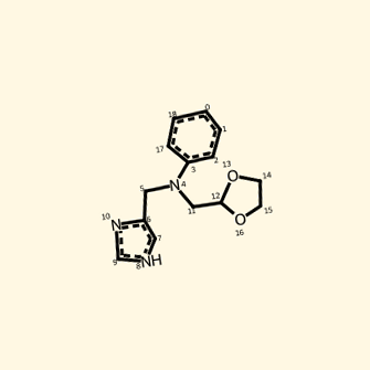 c1ccc(N(Cc2c[nH]cn2)CC2OCCO2)cc1